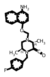 C[C@@H]1C(=C=O)N(Cc2ccc(F)cc2)[C@@H](C)CN1COc1ccc(N)c2ccccc12